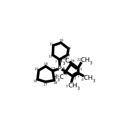 CC1=C(C)C(C)(P(C2CCCCC2)C2CCCCC2)C(C)=C1C